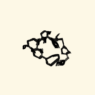 CC(Cc1ccc(CO)cc1)Nc1nccc(N2CCC(=O)N3CC=C(c4ccccc4)N=C32)n1